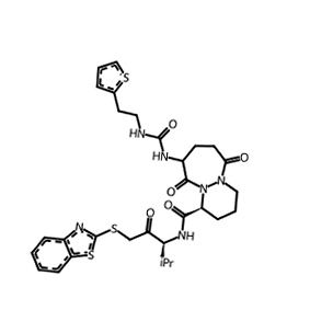 CC(C)[C@H](NC(=O)[C@@H]1CCCN2C(=O)CCC(NC(=O)NCCc3cccs3)C(=O)N12)C(=O)CSc1nc2ccccc2s1